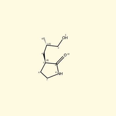 C[C@H](CO)C[C@@H]1CCNC1=O